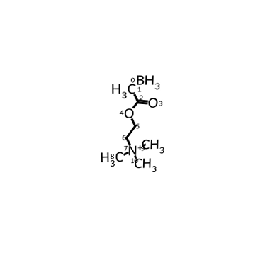 B.CC(=O)OCC[N+](C)(C)C